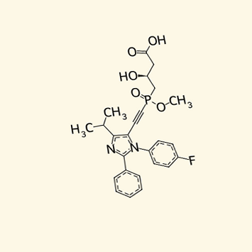 COP(=O)(C#Cc1c(C(C)C)nc(-c2ccccc2)n1-c1ccc(F)cc1)C[C@@H](O)CC(=O)O